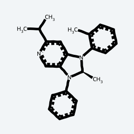 Cc1ccccc1N1c2cc(C(C)C)ncc2N(c2ccccc2)[C@@H]1C